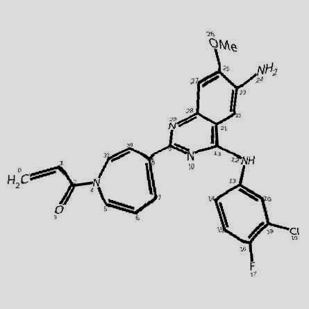 C=CC(=O)N1C=CC=C(c2nc(Nc3ccc(F)c(Cl)c3)c3cc(N)c(OC)cc3n2)C=C1